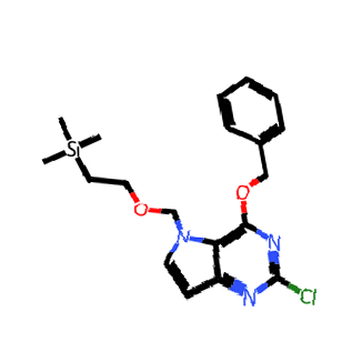 C[Si](C)(C)CCOCn1ccc2nc(Cl)nc(OCc3ccccc3)c21